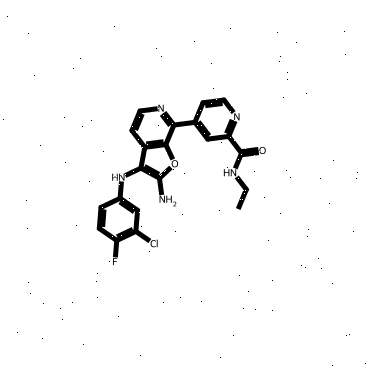 CCNC(=O)c1cc(-c2nccc3c(Nc4ccc(F)c(Cl)c4)c(N)oc23)ccn1